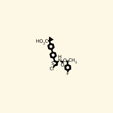 C[C@@H](OC(=O)Nc1cc(Cl)sc1-c1ccc(-c2ccc(C3(C(=O)O)CC3)cc2)cc1)c1ccc(F)cc1